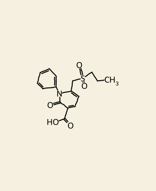 CCCS(=O)(=O)Cc1ccc(C(=O)O)c(=O)n1-c1ccccc1